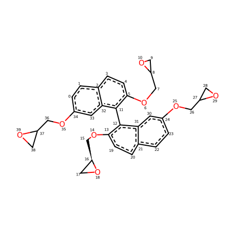 c1cc2ccc(OCC3CO3)c(-c3c(OC[C@@H]4CO4)ccc4ccc(OCC5CO5)cc34)c2cc1OCC1CO1